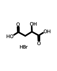 Br.O=C(O)CC(O)C(=O)O